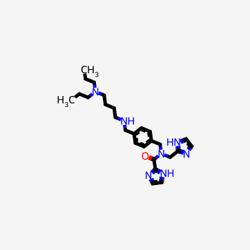 CCCN(CCC)CCCCNCc1ccc(CN(Cc2ncc[nH]2)C(=O)c2ncc[nH]2)cc1